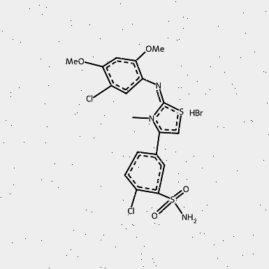 Br.COc1cc(OC)c(/N=c2/scc(-c3ccc(Cl)c(S(N)(=O)=O)c3)n2C)cc1Cl